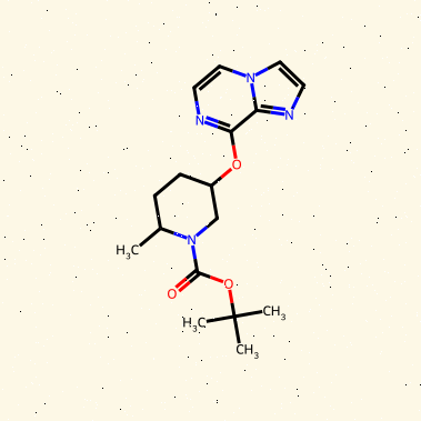 CC1CCC(Oc2nccn3ccnc23)CN1C(=O)OC(C)(C)C